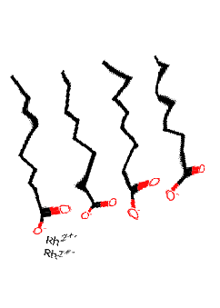 CCCCCCCC(=O)[O-].CCCCCCCC(=O)[O-].CCCCCCCC(=O)[O-].CCCCCCCC(=O)[O-].[Rh+2].[Rh+2]